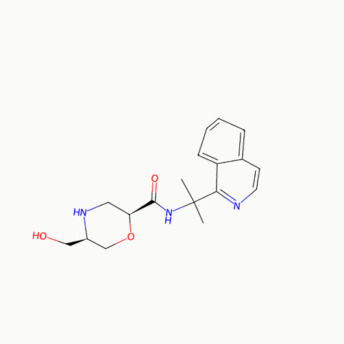 CC(C)(NC(=O)[C@@H]1CN[C@H](CO)CO1)c1nccc2ccccc12